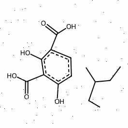 CCC(C)CC.O=C(O)c1ccc(O)c(C(=O)O)c1O